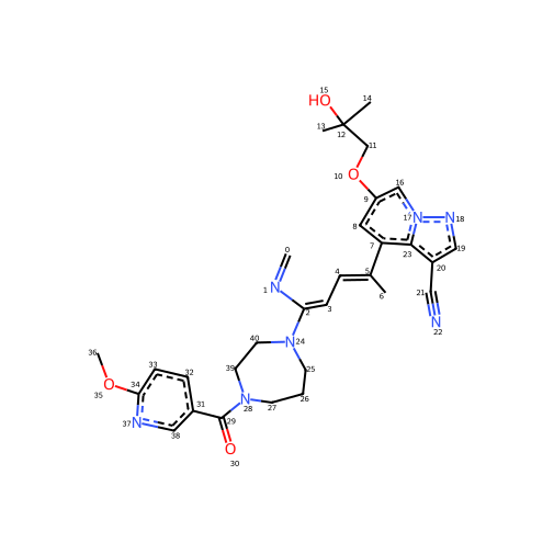 C=N/C(=C\C=C(/C)c1cc(OCC(C)(C)O)cn2ncc(C#N)c12)N1CCCN(C(=O)c2ccc(OC)nc2)CC1